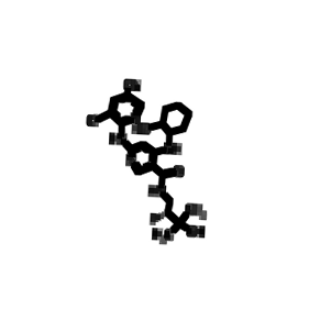 CC(C)(O)[C@H](F)CNC(=O)c1cnc(Nc2ncc(C#N)cc2Cl)cc1NC1CCCCC1O